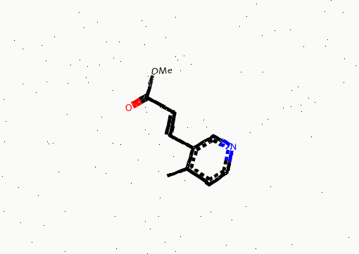 COC(=O)C=Cc1cnccc1C